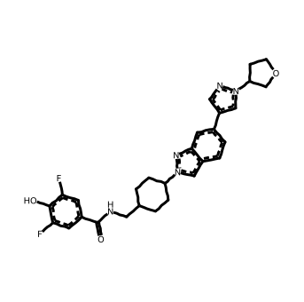 O=C(NCC1CCC(n2cc3ccc(-c4cnn(C5CCOC5)c4)cc3n2)CC1)c1cc(F)c(O)c(F)c1